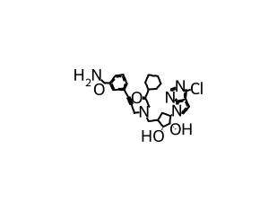 NC(=O)c1cccc(C#CCN(CC(=O)C2CCCCC2)CC2C[C@@H](n3ccc4c(Cl)ncnc43)[C@H](O)[C@@H]2O)c1